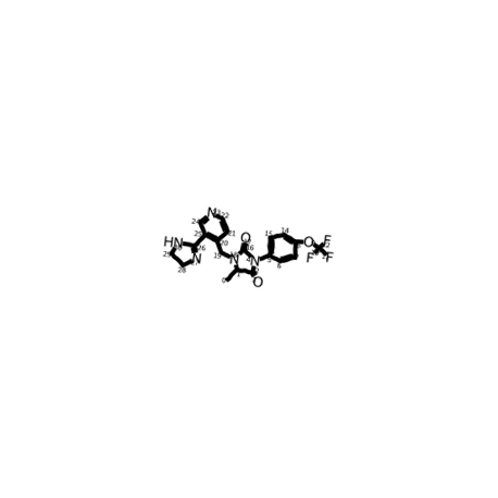 CC1C(=O)N(c2ccc(OC(F)(F)F)cc2)C(=O)N1Cc1ccncc1C1=NCCN1